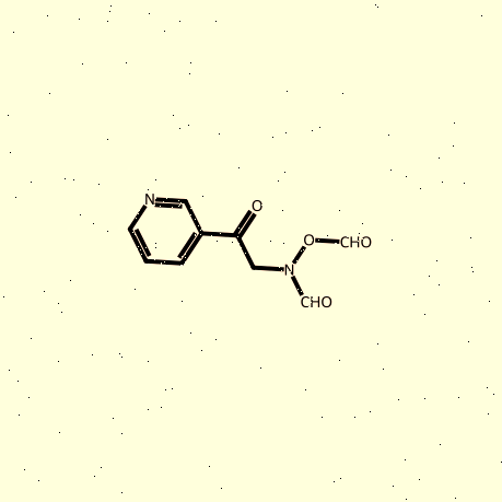 O=CON(C=O)CC(=O)c1cccnc1